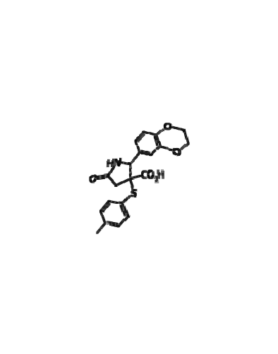 Cc1ccc(SC2(C(=O)O)CC(=O)NC2c2ccc3c(c2)OCCO3)cc1